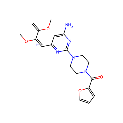 C=C(OC)/C(=C\c1cc(N)nc(N2CCN(C(=O)c3ccco3)CC2)n1)OC